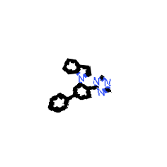 c1ccc(-c2ccc(-c3ncncn3)c(-n3ccc4ccccc43)c2)cc1